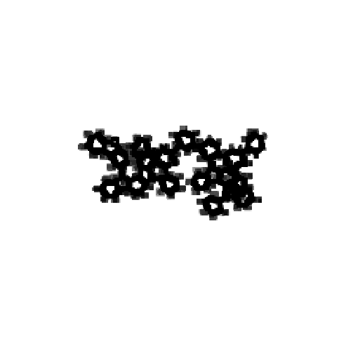 c1ccc(-c2cc(-c3ccc(-c4cccc(-c5nc(-c6ccccc6)nc(-c6ccccc6-n6c7ccccc7c7c6ccc6c8ccccc8n(-c8ccc9oc%10ccccc%10c9c8)c67)n5)c4)cc3-n3c4ccccc4c4c3ccc3c5ccccc5n(-c5ccccc5)c34)nc(-c3ccccc3)n2)cc1